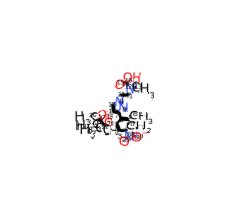 C=C(/C=C\C(=C\C)c1nn(CCN(C)C(=O)O)cc1B1OC(C)(C)C(C)(C)O1)[N+](=O)[O-]